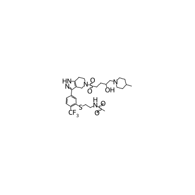 CC1CCN(CC(O)CCS(=O)(=O)N2CCc3[nH]nc(-c4ccc(C(F)(F)F)c(SCCNS(C)(=O)=O)c4)c3C2)CC1